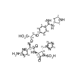 N=C(N[C@@H]1CCNC1)c1ccc(OC[C@H](ON=C(C(=O)N[C@@H]2C(=O)N(S(=O)(=O)O)[C@H]2Cn2cncn2)c2csc(N)n2)C(=O)O)cc1